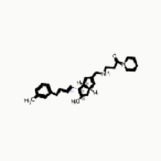 Cc1cccc(CC/C=C/[C@@H]2[C@H]3CC(CNCCC(=O)N4CCCCC4)=C[C@H]3C[C@H]2O)c1